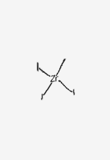 [CH3][Zr]([I])([I])[I]